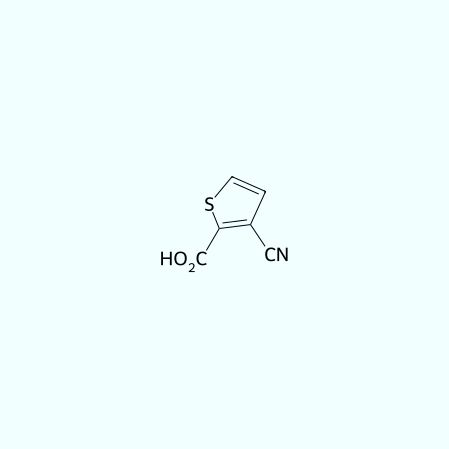 N#Cc1ccsc1C(=O)O